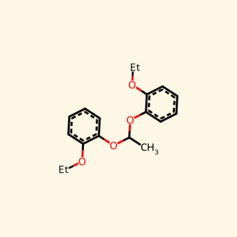 CCOc1ccccc1OC(C)Oc1ccccc1OCC